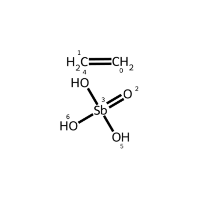 C=C.[O]=[Sb]([OH])([OH])[OH]